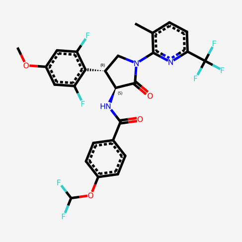 COc1cc(F)c([C@@H]2CN(c3nc(C(F)(F)F)ccc3C)C(=O)[C@H]2NC(=O)c2ccc(OC(F)F)cc2)c(F)c1